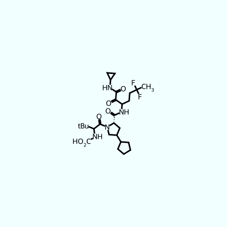 CC(F)(F)CCC(NC(=O)[C@@H]1CC(C2CCCC2)CN1C(=O)C(NC(=O)O)C(C)(C)C)C(=O)C(=O)NC1CC1